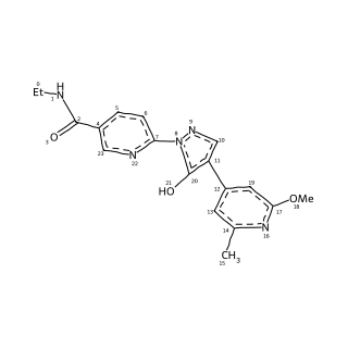 CCNC(=O)c1ccc(-n2ncc(-c3cc(C)nc(OC)c3)c2O)nc1